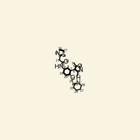 Cc1noc(C)c1-c1cc(NC(=O)Cc2nccs2)ccc1OC[C@H]1CCCCN1